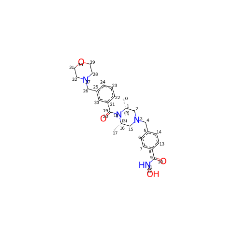 C[C@@H]1CN(Cc2ccc(C(=O)NO)cc2)C[C@H](C)N1C(=O)c1cccc(CN2CCOCC2)c1